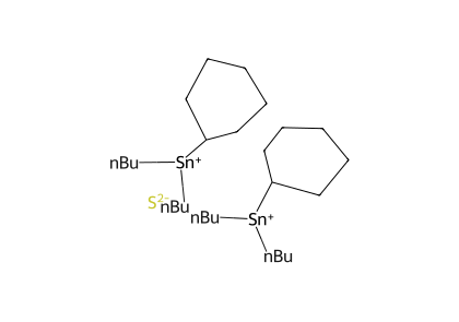 CCC[CH2][Sn+]([CH2]CCC)[CH]1CCCCC1.CCC[CH2][Sn+]([CH2]CCC)[CH]1CCCCC1.[S-2]